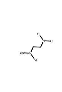 CCC(C)N(CCN(CC)CC)C(C)=O